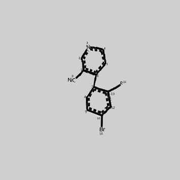 N#Cc1cnccc1-c1ccc(Br)cc1F